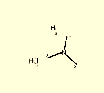 CN(C)C.Cl.I